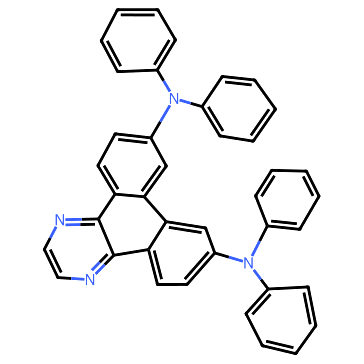 c1ccc(N(c2ccccc2)c2ccc3c(c2)c2cc(N(c4ccccc4)c4ccccc4)ccc2c2nccnc32)cc1